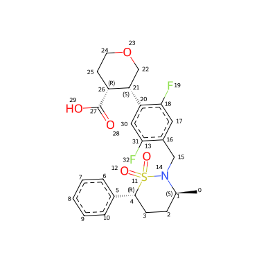 C[C@H]1CC[C@H](c2ccccc2)S(=O)(=O)N1Cc1cc(F)c([C@H]2COCC[C@H]2C(=O)O)cc1F